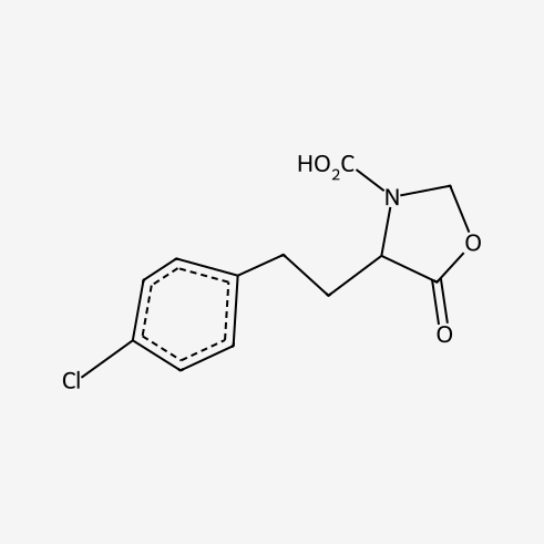 O=C1OCN(C(=O)O)C1CCc1ccc(Cl)cc1